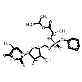 Cc1cn([C@H]2O[C@@H](CO[P@](=O)(N[C@@H](C)C(=O)OC(C)C)Oc3ccccc3)C(O)[C@H]2F)c(=S)[nH]c1=S